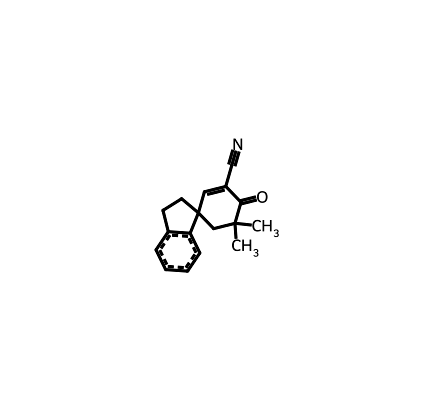 CC1(C)CC2(C=C(C#N)C1=O)CCc1ccccc12